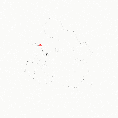 NC(=O)C12CC3CC(C1)C(NC(=O)[C@H]1CN(Cc4ccc(OC(F)(F)C(F)F)cc4)CCO1)C(C3)C2